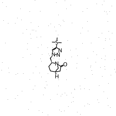 CS(C)(C)c1cn(C[C@@H]2CC[C@H]3CC(=O)N2C3)nn1